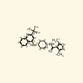 Cc1noc(C)c1C(=O)N[Si@H]1CC[C@@H](Nc2cc(C(F)(F)F)nc3ccccc23)CC1